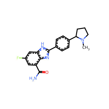 CN1CCCC1c1ccc(-c2nc3c(C(N)=O)cc(F)cc3[nH]2)cc1